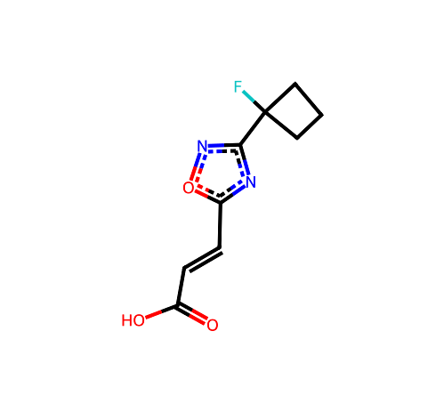 O=C(O)C=Cc1nc(C2(F)CCC2)no1